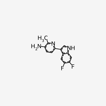 Cc1nc(-c2c[nH]c3cc(F)c(F)cc23)ccc1N